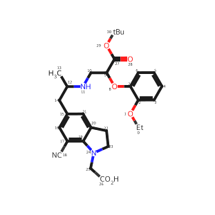 CCOc1ccccc1OC(CNC(C)Cc1cc(C#N)c2c(c1)CCN2CC(=O)O)C(=O)OC(C)(C)C